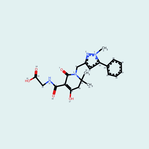 Cn1nc(CN2C(=O)C(C(=O)NCC(=O)O)=C(O)CC2(C)C)cc1-c1ccccc1